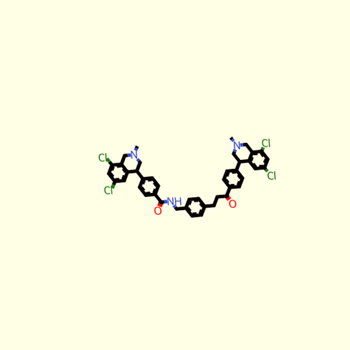 CN1Cc2c(Cl)cc(Cl)cc2C(c2ccc(C(=O)CCc3ccc(CNC(=O)c4ccc(C5CN(C)Cc6c(Cl)cc(Cl)cc65)cc4)cc3)cc2)C1